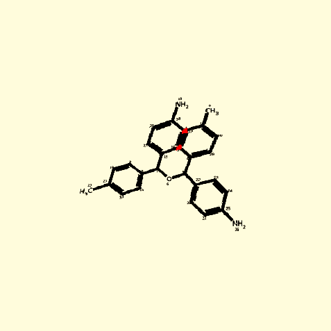 Cc1ccc(C(OC(c2ccc(C)cc2)c2ccc(N)cc2)c2ccc(N)cc2)cc1